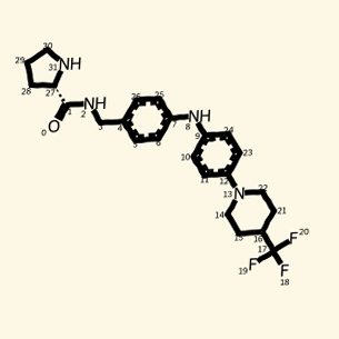 O=C(NCc1ccc(Nc2ccc(N3CCC(C(F)(F)F)CC3)cc2)cc1)[C@@H]1CCCN1